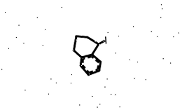 IC1CCCc2ccccc21